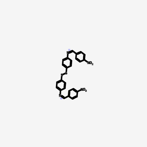 O=[N+]([O-])c1ccc(/C=N\c2ccc(SSc3ccc(/N=C\c4ccc([N+](=O)[O-])cc4)cc3)cc2)cc1